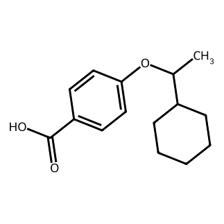 CC(Oc1ccc(C(=O)O)cc1)C1CCCCC1